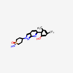 Cc1cc(C(F)(F)F)cc(O)c1-c1ccc2cn(C3CCS(=N)(=O)CC3)nc2n1